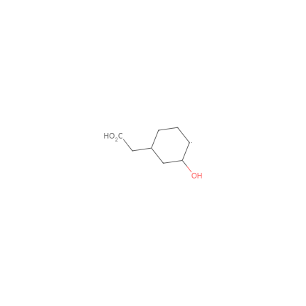 O=C(O)CC1CC[CH]C(O)C1